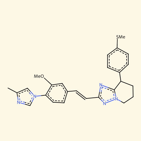 COc1cc(C=Cc2nc3n(n2)CCCC3c2ccc(SC)cc2)ccc1-n1cnc(C)c1